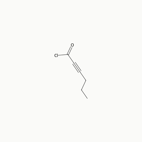 CCCC#CC(=O)Cl